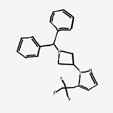 FC(F)(F)c1ccnn1C1CN(C(c2ccccc2)c2ccccc2)C1